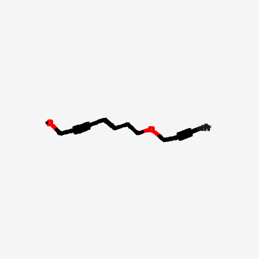 CCCC#CCOCCCCC#CC[O]